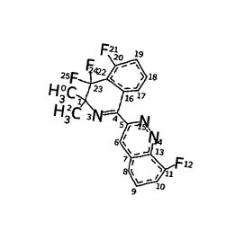 CC1(C)N=C(c2cc3cccc(F)c3nn2)c2cccc(F)c2C1(F)F